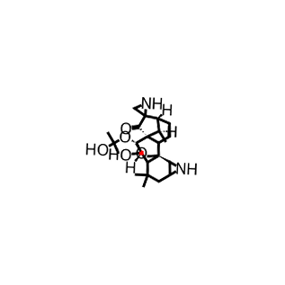 C[C@@H]1[C@H]2CCC3[C@@]45CO[C@](OC(C)(C)O)([C@@H](O)C4C(C)(C)CC4NC45)[C@]31C(=O)C21CN1